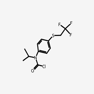 CC(C)N(C(=O)Cl)c1ccc(SCC(F)(F)F)cc1